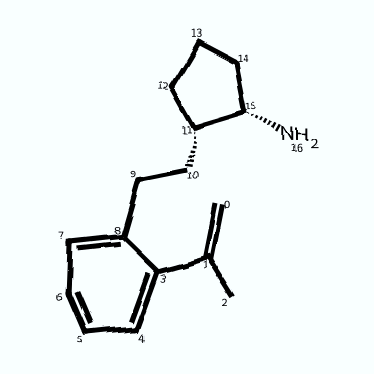 C=C(C)c1ccccc1CC[C@@H]1CCC[C@@H]1N